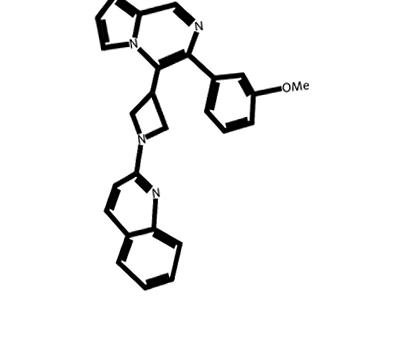 COc1cccc(-c2ncc3cccn3c2C2CN(c3ccc4ccccc4n3)C2)c1